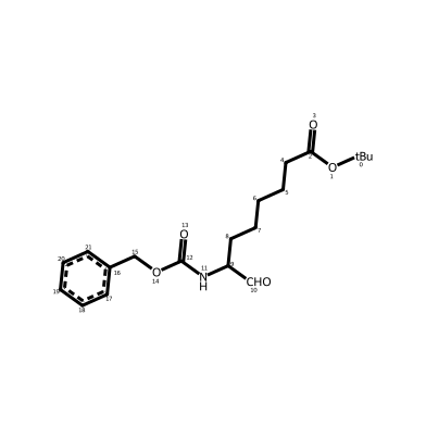 CC(C)(C)OC(=O)CCCCCC(C=O)NC(=O)OCc1ccccc1